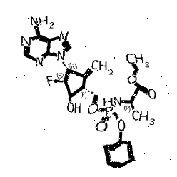 C=C1[C@@H](n2cnc3c(N)ncnc32)[C@H](F)C(O)[C@H]1COP(=O)(N[C@H](C)C(=O)OCC)Oc1ccccc1